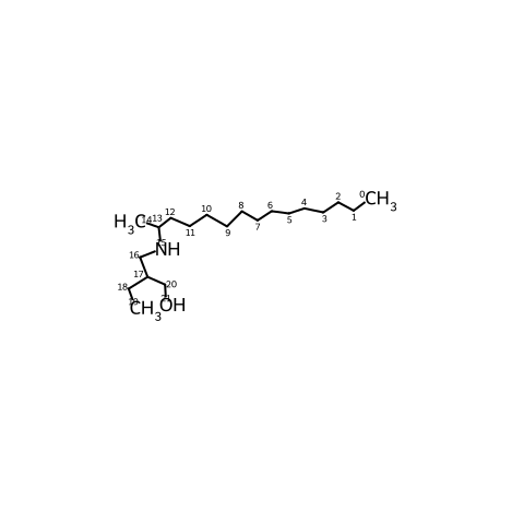 CCCCCCCCCCCCCC(C)NCC(CC)CO